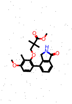 COC(=O)C(C)(C)COc1c(-c2cccc3c2CNC3=O)ccc(OC)c1C